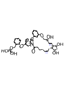 O=C(CCC/C=C\C[C@@H]1[C@@H](/C=C/[C@@H](O)COc2cccc(C(F)(F)F)c2)[C@H](O)C[C@@H]1O)NCC(=O)Oc1ccccc1CON(O)O